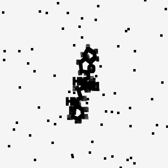 Cl.Cl.c1ccc2c(c1)CCC(CNCCCNC1=NCCCC1)O2